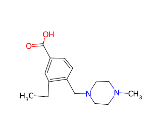 CCc1cc(C(=O)O)ccc1CN1CCN(C)CC1